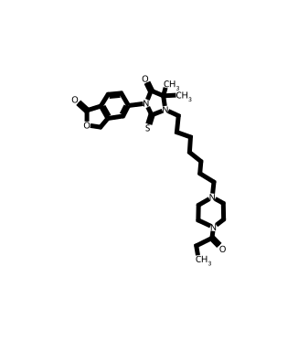 CCC(=O)N1CCN(CCCCCCCN2C(=S)N(c3ccc4c(c3)COC4=O)C(=O)C2(C)C)CC1